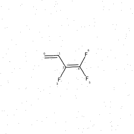 C=CC(F)=C(F)F